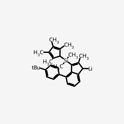 [Li][CH]1C(C)=C([Si](C)(C)C2C(C)=C(C)C(C)=C2C)c2c(-c3ccc(C(C)(C)C)cc3)cccc21